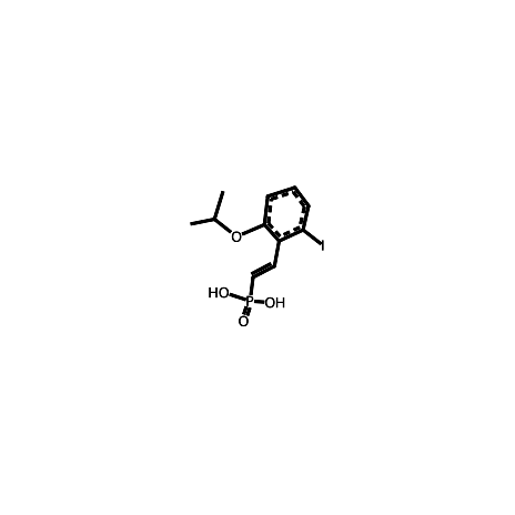 CC(C)Oc1cccc(I)c1/C=C/P(=O)(O)O